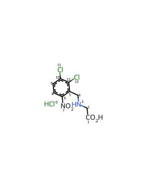 Cl.O=C(O)CNCc1c([N+](=O)[O-])ccc(Cl)c1Cl